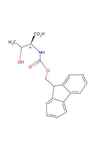 CC(O)[C@H](NC(=O)OCC1c2ccccc2-c2ccccc21)C(=O)O